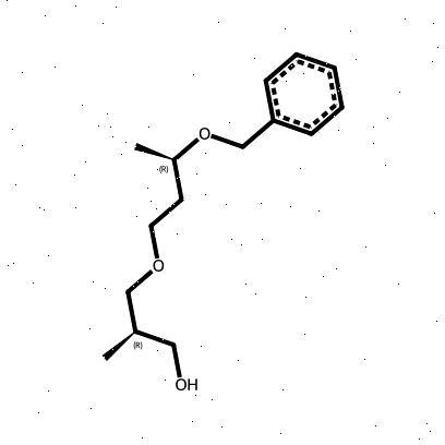 C[C@H](CO)COCC[C@@H](C)OCc1ccccc1